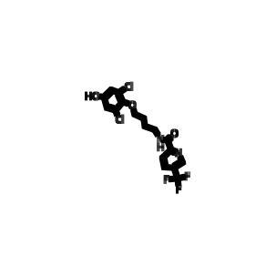 O=C(NCCCCOc1c(Cl)cc(O)cc1Cl)c1ccc(C(F)(F)F)cn1